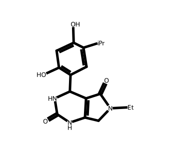 CCN1CC2=C(C1=O)C(c1cc(C(C)C)c(O)cc1O)NC(=O)N2